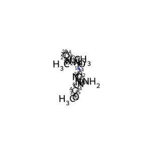 COc1ccc(Cn2nc(N)c3cc(/C=C/C(=O)N(C)Cc4cc5ccccc5n4C)cnc32)cc1